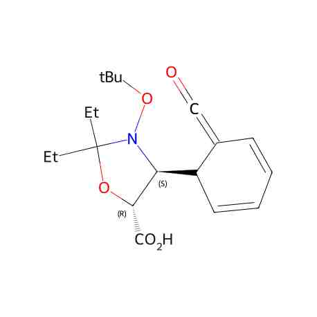 CCC1(CC)O[C@@H](C(=O)O)[C@H](C2C=CC=CC2=C=O)N1OC(C)(C)C